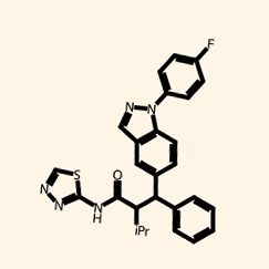 CC(C)C(C(=O)Nc1nncs1)C(c1ccccc1)c1ccc2c(cnn2-c2ccc(F)cc2)c1